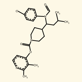 Cc1nccc(OC(=O)N2CCC(C(CC(C)C)N(C=O)c3ccc(Cl)cc3)CC2)c1C